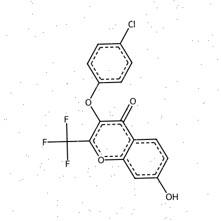 O=c1c(Oc2ccc(Cl)cc2)c(C(F)(F)F)oc2cc(O)ccc12